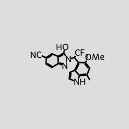 COc1cc(C)c2[nH]ccc2c1C(n1nc2ccc(C#N)cc2c1O)C(F)(F)F